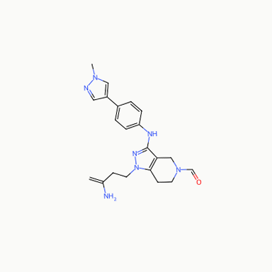 C=C(N)CCn1nc(Nc2ccc(-c3cnn(C)c3)cc2)c2c1CCN(C=O)C2